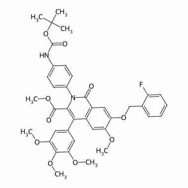 COC(=O)c1c(-c2cc(OC)c(OC)c(OC)c2)c2cc(OC)c(OCc3ccccc3F)cc2c(=O)n1-c1ccc(NC(=O)OC(C)(C)C)cc1